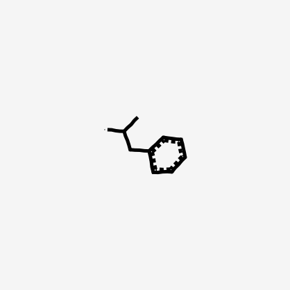 [CH2]C(C)Cc1ccccc1